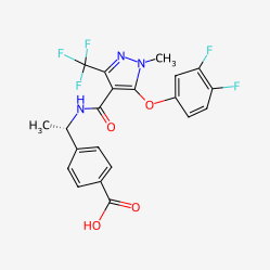 C[C@H](NC(=O)c1c(C(F)(F)F)nn(C)c1Oc1ccc(F)c(F)c1)c1ccc(C(=O)O)cc1